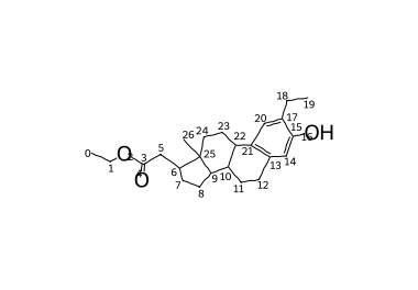 CCOC(=O)CC1CCC2C3CCc4cc(O)c(CC)cc4C3CCC12C